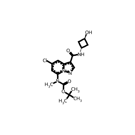 CN(C(=O)OC(C)(C)C)c1cc(Cl)cc2c(C(=O)N[C@H]3C[C@H](O)C3)cnn12